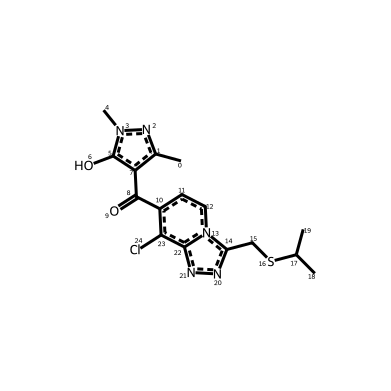 Cc1nn(C)c(O)c1C(=O)c1ccn2c(CSC(C)C)nnc2c1Cl